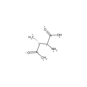 CC(=O)[C@H](C)C(N)C(=O)O